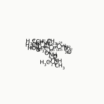 Cc1cc(C)c(CNC(=O)c2cc(-c3ccc(CN4CCOCC4)cc3)cc(N(C)C3CCC(N(C(=O)O)C(C)(C)C)CC3)c2C)c(=O)[nH]1